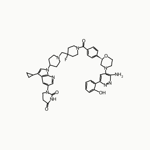 Nc1nnc(-c2ccccc2O)cc1N1CCO[C@H](c2ccc(C(=O)N3CCC(F)(CN4CCC(n5cc(C6CC6)c6cc(N7CCC(=O)NC7=O)cnc65)CC4)CC3)cc2)C1